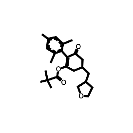 Cc1cc(C)c(C2=C(OC(=O)C(C)(C)C)CC(CC3CCOC3)CC2=O)c(C)c1